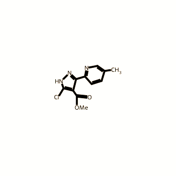 COC(=O)c1c(-c2ccc(C)cn2)n[nH]c1Cl